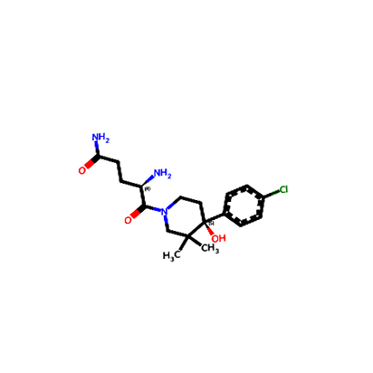 CC1(C)CN(C(=O)[C@H](N)CCC(N)=O)CC[C@]1(O)c1ccc(Cl)cc1